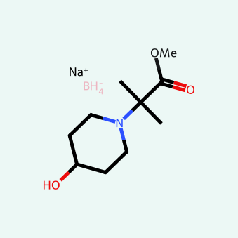 COC(=O)C(C)(C)N1CCC(O)CC1.[BH4-].[Na+]